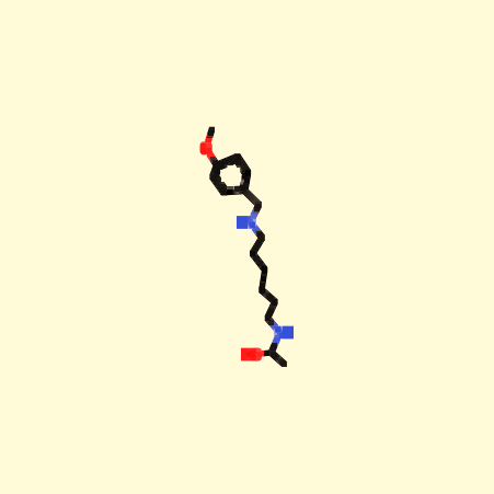 COc1ccc(CNCCCCCCNC(C)O)cc1